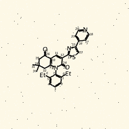 CCc1cccc(CC)c1-n1c2c(cc(-c3nc(-c4ccncc4)cs3)c1=O)C(=O)CC(C)(C)C2